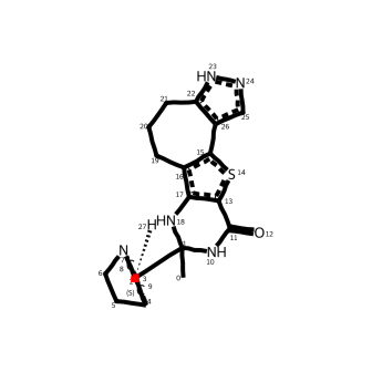 CC1([C@@H]2CC3CCN2CC3)NC(=O)c2sc3c(c2N1)CCCc1[nH]ncc1-3